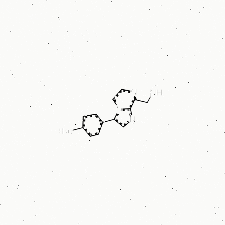 CC(C)(C)c1ccc(-c2cnc3c(CN)nccn23)cc1